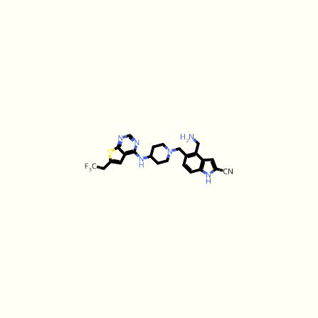 N#Cc1cc2c(CN)c(CN3CCC(Nc4ncnc5sc(CC(F)(F)F)cc45)CC3)ccc2[nH]1